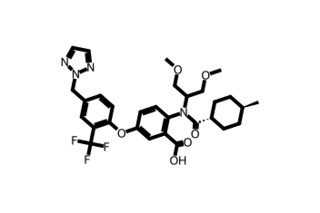 COCC(COC)N(c1ccc(Oc2ccc(Cn3nccn3)cc2C(F)(F)F)cc1C(=O)O)C(=O)[C@H]1CC[C@H](C)CC1